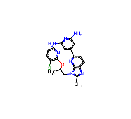 Cc1nc2ccc(-c3cc(N)nc(N)c3)nc2n1CC(C)Oc1ncccc1Cl